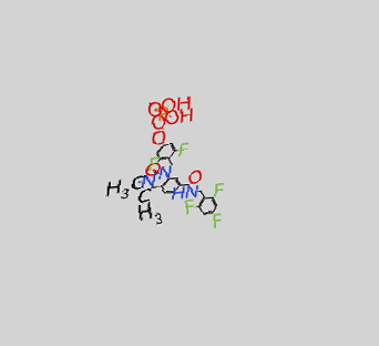 C[C@H]1c2ccc(C(=O)NCc3c(F)cc(F)cc3F)cc2N(Cc2c(F)cc(OCOP(=O)(O)O)cc2F)C(=O)N1C